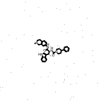 C[C@H](c1c[nH]c2ccccc12)[C@@H](NC(=O)N1CCC(c2ccccc2)CC1)C(=O)Nc1ccc2c(c1)CN(C)CC2